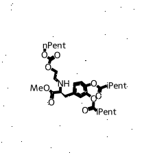 CCCCCOC(=O)OCCN[C@@H](Cc1ccc(OC(=O)C(C)CCC)c(OC(=O)C(C)CCC)c1)C(=O)OC